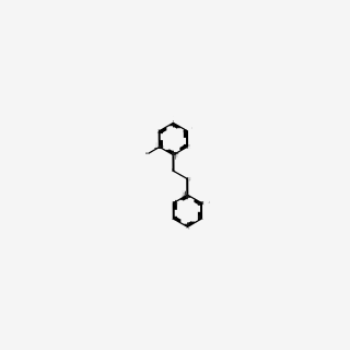 Ic1ccccc1CCc1ccccc1